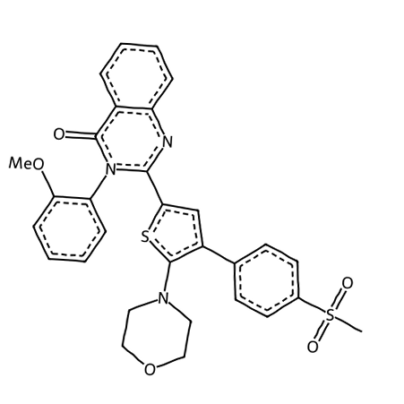 COc1ccccc1-n1c(-c2cc(-c3ccc(S(C)(=O)=O)cc3)c(N3CCOCC3)s2)nc2ccccc2c1=O